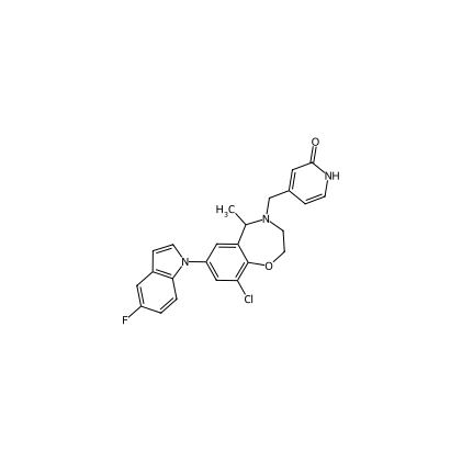 CC1c2cc(-n3ccc4cc(F)ccc43)cc(Cl)c2OCCN1Cc1cc[nH]c(=O)c1